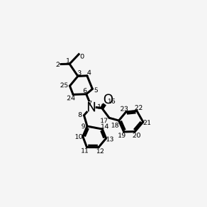 CC(C)C1CCC(N(Cc2ccccc2)C(=O)Cc2ccccc2)CC1